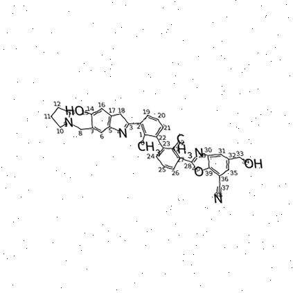 Cc1c(C2=Nc3cc(CN4CCCC4)c(O)cc3C2)cccc1-c1cccc(-c2nc3cc(CO)cc(C#N)c3o2)c1C